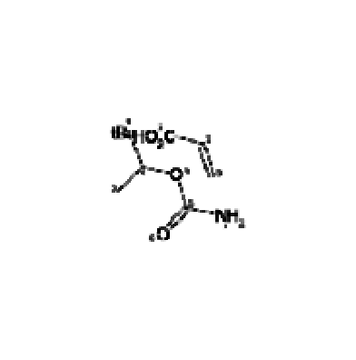 C=CC(=O)O.CC(OC(N)=O)C(C)(C)C